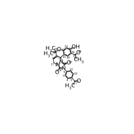 CC(=O)c1ccc(-n2c(=O)n3n(c2=O)C2C(=CC3)C(C)(C)Oc3cc(O)c(C(C)=O)cc32)cc1